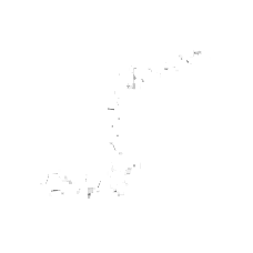 C[C@@H](COC(=O)CCCC=CC[C@@H]1[C@@H](C=CC(F)(F)COc2ccccc2)[C@H](O)C[C@@H]1O)NC(=O)OCCOCCO[N+](=O)[O-]